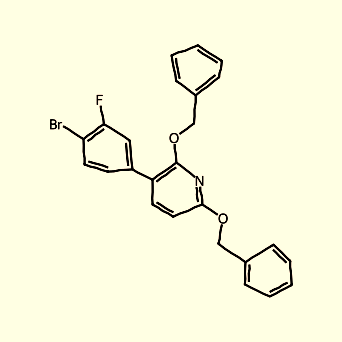 Fc1cc(-c2ccc(OCc3ccccc3)nc2OCc2ccccc2)ccc1Br